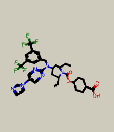 CCC1CC(N(Cc2cc(C(F)(F)F)cc(C(F)(F)F)c2)c2ncc(-n3ccnc3)cn2)CC(CC)N1C(=O)OC1CCC(C(=O)O)CC1